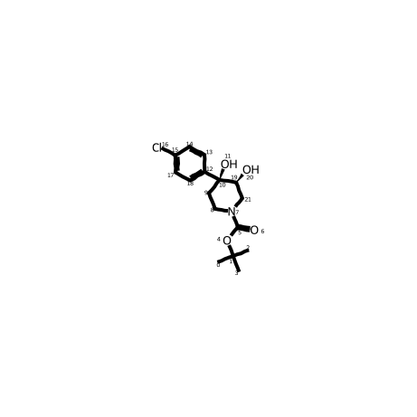 CC(C)(C)OC(=O)N1CC[C@](O)(c2ccc(Cl)cc2)[C@@H](O)C1